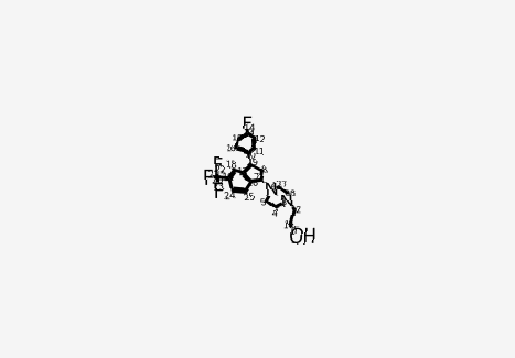 OCCN1CCN([C@H]2C[C@H](c3ccc(F)cc3)c3cc(C(F)(F)F)ccc32)CC1